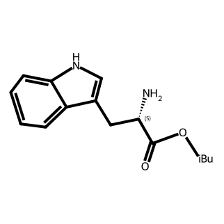 CCC(C)OC(=O)[C@@H](N)Cc1c[nH]c2ccccc12